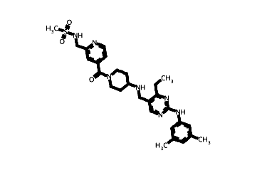 CCc1nc(Nc2cc(C)cc(C)c2)ncc1CNC1CCN(C(=O)c2ccnc(CNS(C)(=O)=O)c2)CC1